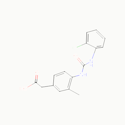 Cc1cc(CC(=O)O)ccc1NC(=O)Nc1ccccc1Cl